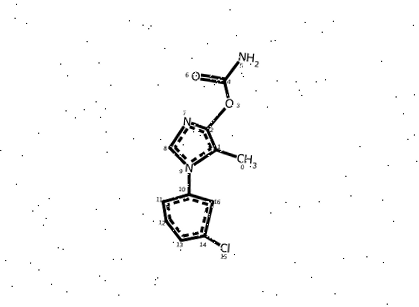 Cc1c(OC(N)=O)ncn1-c1cccc(Cl)c1